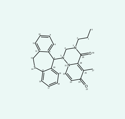 CCCN1CN(C2c3ccccc3CSc3ccccc32)n2ccc(=O)c(C)c2C1=O